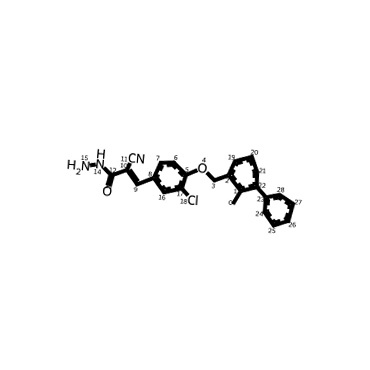 Cc1c(COc2ccc(/C=C(\C#N)C(=O)NN)cc2Cl)cccc1-c1ccccc1